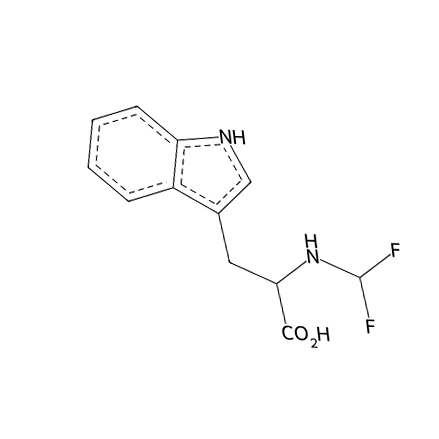 O=C(O)C(Cc1c[nH]c2ccccc12)NC(F)F